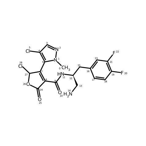 Cn1ncc(Cl)c1C1=C(C(=O)N[C@H](CN)Cc2ccc(F)c(F)c2)C(=O)OC1Cl